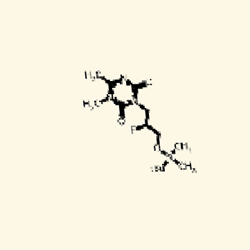 Cc1nc(=O)n(CC(F)CO[Si](C)(C)C(C)(C)C)c(=O)n1C